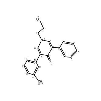 CCCn1cc(-c2ccccc2)c(=S)c(-c2cccc(C)c2)n1